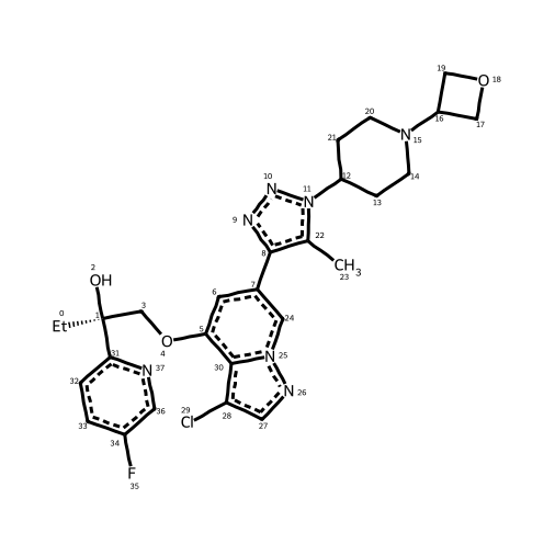 CC[C@](O)(COc1cc(-c2nnn(C3CCN(C4COC4)CC3)c2C)cn2ncc(Cl)c12)c1ccc(F)cn1